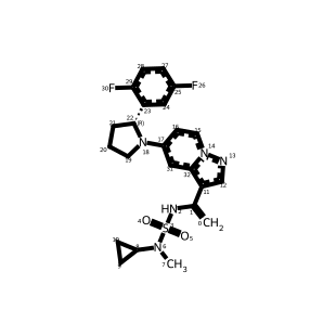 C=C(NS(=O)(=O)N(C)C1CC1)c1cnn2ccc(N3CCC[C@@H]3c3cc(F)ccc3F)cc12